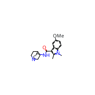 COc1ccc2c(c1)c(C(=O)NC1CN3CCC1CC3)c(C)n2C